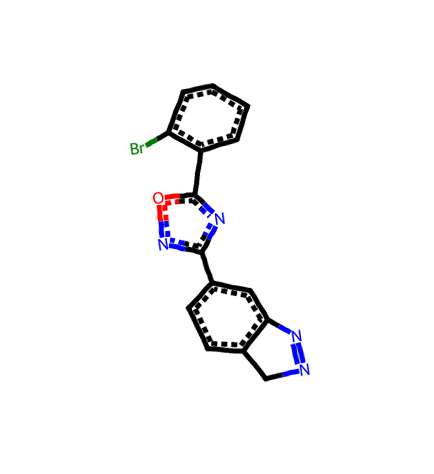 Brc1ccccc1-c1nc(-c2ccc3c(c2)N=NC3)no1